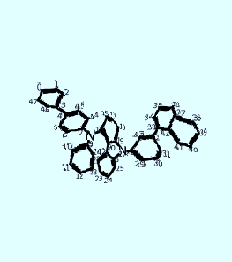 c1ccc(-c2ccc(N(c3ccccc3)c3cccc4c3c3ccccc3n4-c3cccc(-c4cccc5ccccc45)c3)cc2)cc1